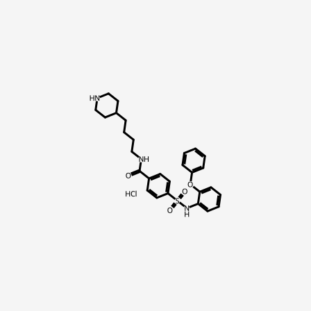 Cl.O=C(NCCCCC1CCNCC1)c1ccc(S(=O)(=O)Nc2ccccc2Oc2ccccc2)cc1